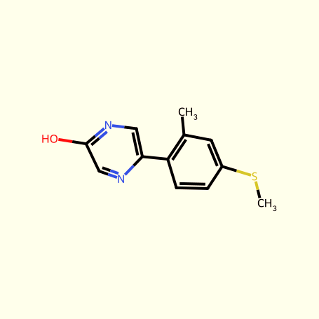 CSc1ccc(-c2cnc(O)cn2)c(C)c1